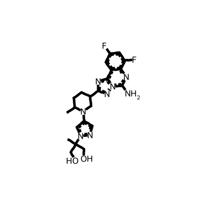 CC1CCC(c2nc3c4cc(F)cc(F)c4nc(N)n3n2)CN1c1cnn(C(C)(CO)CO)c1